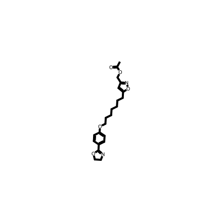 CC(=O)OCc1cc(CCCCCCCOc2ccc(C3=NCCO3)cc2)on1